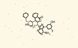 CC(c1oc(=O)c2ccccc2c1C1=CC(Cc2ccccc2)NCC1)n1nc(-c2cc(O)cc(F)c2)c2c(N)ncnc21